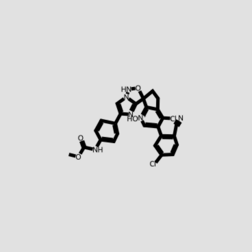 COC(=O)Nc1ccc(-c2cn3c(n2)C2(CCc4c(Cl)c(-c5cc(Cl)ccc5C#N)c[n+](O)c42)ON3)cc1